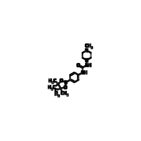 CN1CCN(NC(=O)Nc2ccc(B3OC(C)(C)C(C)(C)O3)cc2)CC1